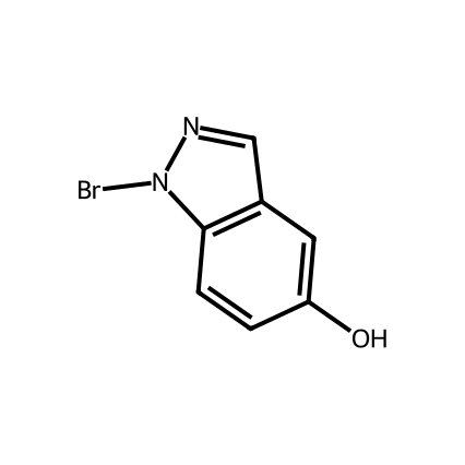 Oc1ccc2c(cnn2Br)c1